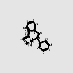 c1ccc(-c2cc3ccccc3c3cnnn23)cc1